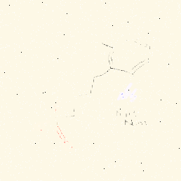 Cc1cccc(N)c1CCCCS(=O)(=O)O.[NaH].[NaH]